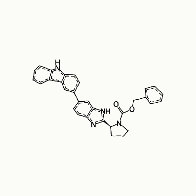 O=C(OCc1ccccc1)N1CCC[C@H]1c1nc2ccc(-c3ccc4[nH]c5ccccc5c4c3)cc2[nH]1